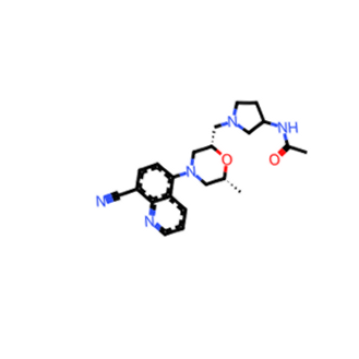 CC(=O)NC1CCN(C[C@H]2CN(c3ccc(C#N)c4ncccc34)C[C@@H](C)O2)C1